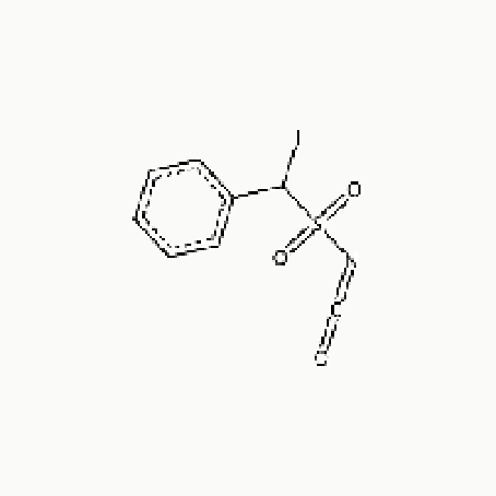 O=C=NS(=O)(=O)C(I)c1ccccc1